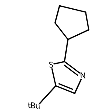 CC(C)(C)c1cnc(C2CCCC2)s1